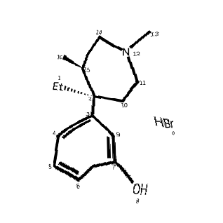 Br.CC[C@@]1(c2cccc(O)c2)CCN(C)C[C@@H]1C